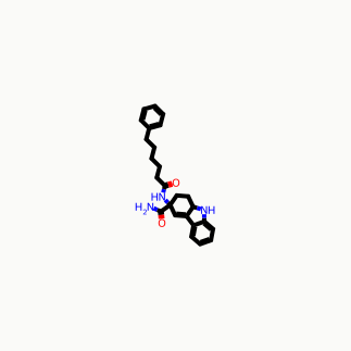 NC(=O)C1(NC(=O)CCCCCc2ccccc2)C=C2c3ccccc3NC2CC1